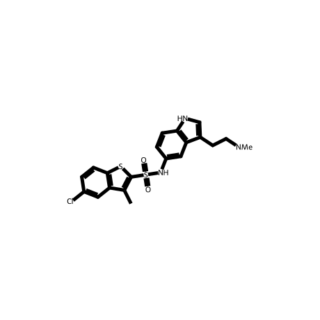 CNCCc1c[nH]c2ccc(NS(=O)(=O)c3sc4ccc(Cl)cc4c3C)cc12